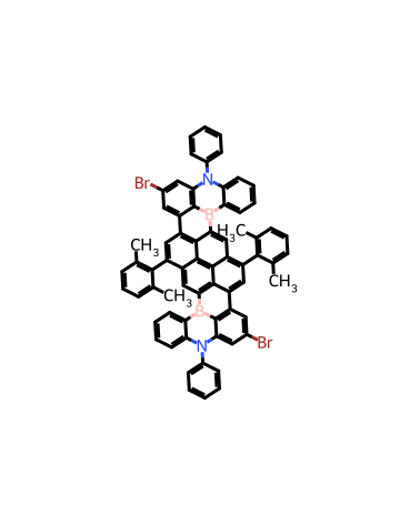 Cc1cccc(C)c1-c1cc2c3c(cc4c(-c5c(C)cccc5C)cc5c6c(cc1c3c46)B1c3ccccc3N(c3ccccc3)c3cc(Br)cc-5c31)B1c3ccccc3N(c3ccccc3)c3cc(Br)cc-2c31